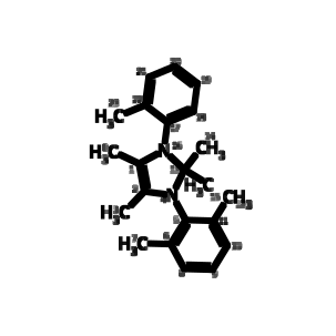 CC1=C(C)N(c2c(C)cccc2C)C(C)(C)N1c1ccccc1C